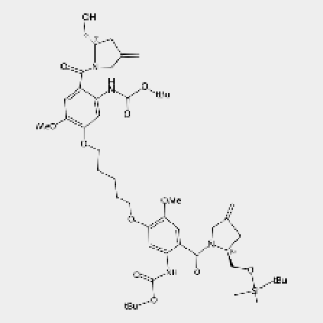 C=C1C[C@@H](CO)N(C(=O)c2cc(OC)c(OCCCCCOc3cc(NC(=O)OC(C)(C)C)c(C(=O)N4CC(=C)C[C@H]4CO[Si](C)(C)C(C)(C)C)cc3OC)cc2NC(=O)OC(C)(C)C)C1